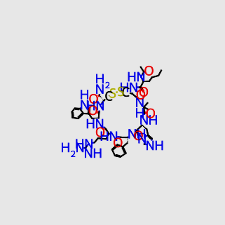 CCCC[C@H](NC(C)=O)C(=O)N[C@H]1CSSC[C@@H](C(N)=O)NC(=O)[C@H](Cc2c[nH]c3ccccc23)NC(=O)[C@H](CCCNC(=N)N)NC(=O)[C@@H](Cc2ccccc2)NC(=O)[C@H](Cc2c[nH]cn2)NC(=O)C(C)(C)NC1=O